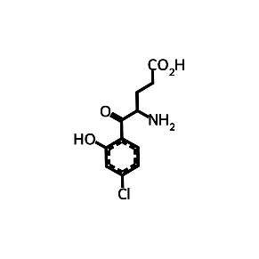 NC(CCC(=O)O)C(=O)c1ccc(Cl)cc1O